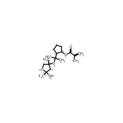 C=C(C)C(=O)OC1CCCC1C(C)(C)OC1(C)COC(O)(C(F)(F)F)C1